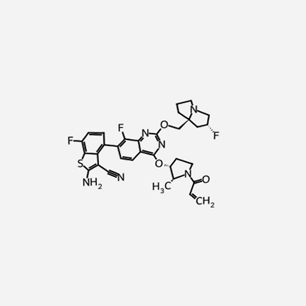 C=CC(=O)N1CC[C@@H](Oc2nc(OC[C@@]34CCCN3C[C@H](F)C4)nc3c(F)c(-c4ccc(F)c5sc(N)c(C#N)c45)ccc23)[C@H]1C